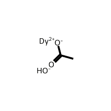 CC(=O)[O-].[Dy+2].[OH-]